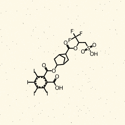 O=C(O)c1c(I)c(I)c(I)c(I)c1C(=O)OC1CC2CC1CC2C(=O)OC(CS(=O)(=O)O)C(F)(F)F